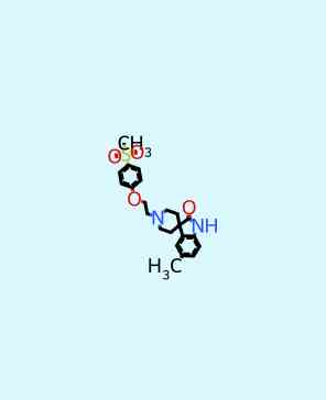 Cc1ccc2c(c1)C1(CCN(CCOc3ccc(S(C)(=O)=O)cc3)CC1)C(=O)N2